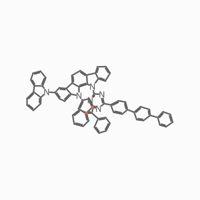 c1ccc(-c2ccc(-c3ccc(-c4nc(-c5ccccc5)nc(-n5c6ccccc6c6ccc7c8cc(-n9c%10ccccc%10c%10ccccc%109)ccc8n(-c8ccc(-c9ccccc9)cc8)c7c65)n4)cc3)cc2)cc1